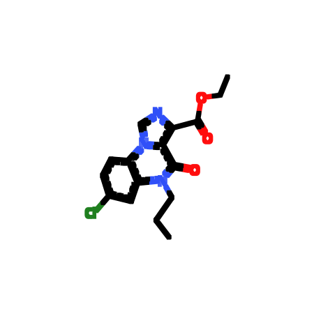 CCCn1c(=O)c2c(C(=O)OCC)ncn2c2ccc(Cl)cc21